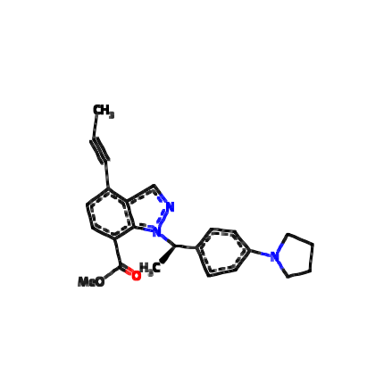 CC#Cc1ccc(C(=O)OC)c2c1cnn2[C@H](C)c1ccc(N2CCCC2)cc1